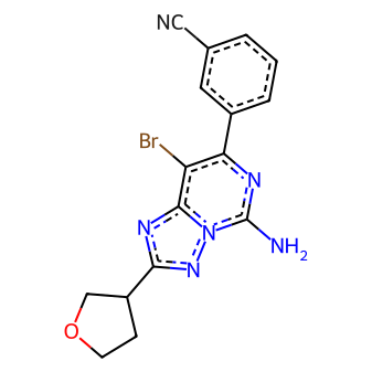 N#Cc1cccc(-c2nc(N)n3nc(C4CCOC4)nc3c2Br)c1